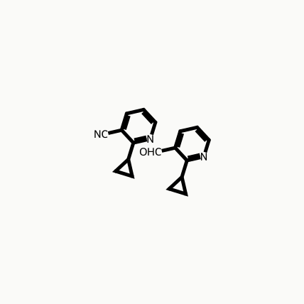 N#Cc1cccnc1C1CC1.O=Cc1cccnc1C1CC1